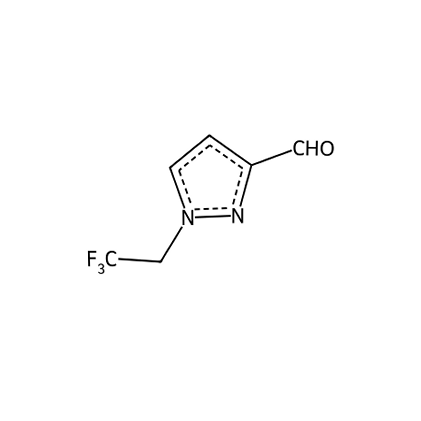 O=Cc1ccn(CC(F)(F)F)n1